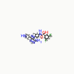 Cc1cc(NC(=O)[C@H](O)c2cc(F)cc(F)c2)ccc1-n1nc(C2CCNCC2)c2ncnc(N)c21